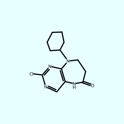 O=C1CCN(C2CCCCC2)c2nc(Cl)ncc2N1